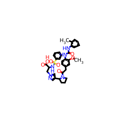 COc1cc(CC(=O)N2CCCC2c2cnn(CC(NS(=O)(=O)c3ccccc3)C(=O)O)c2)ccc1NC(=O)Nc1ccccc1C